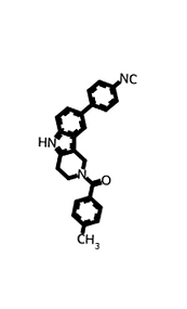 [C-]#[N+]c1ccc(-c2ccc3[nH]c4c(c3c2)CN(C(=O)c2ccc(C)cc2)CC4)cc1